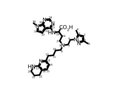 Cc1cc(C)n(CCN(CCCCc2ccc3c(n2)NCCC3)CCC(Nc2ncnc3c2ccn3C)C(=O)O)n1